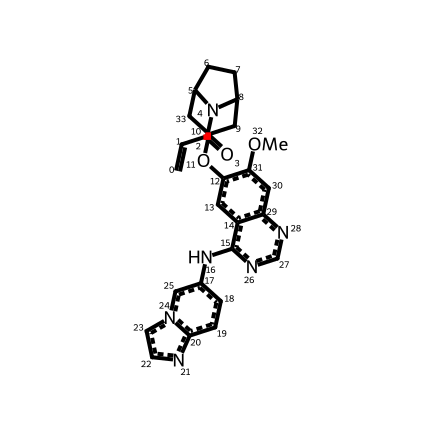 C=CC(=O)N1C2CCC1CC(Oc1cc3c(Nc4ccc5nccn5c4)ncnc3cc1OC)C2